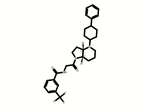 O=C(NCC(=O)N1CC[C@H]2[C@@H]1CCCN2C1CCC(c2ccccc2)CC1)c1cccc(C(F)(F)F)c1